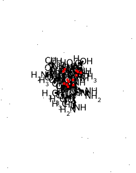 CC[C@H](C)[C@H](N)C(=O)N[C@@H](CC(N)=O)C(=O)N[C@H](C(=O)N[C@@H](CC(N)=O)C(=O)NCC(=O)N[C@@H](CC(C)C)C(=O)N[C@H](C(=O)N[C@@H](CCCNC(=N)N)C(=O)N[C@@H](CCCNC(=N)N)C(=O)N[C@@H](Cc1ccc(O)cc1)C(=O)N[C@@H](C)C(=O)N[C@@H](CC(=O)O)C(=O)N[C@@H](CO)C(=O)N[C@H](C(=O)N[C@@H](CCC(=O)O)C(=O)NCC(=O)O)C(C)C)[C@@H](C)CC)[C@@H](C)O